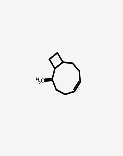 C=C1CC/C=C\CCC2CCC12